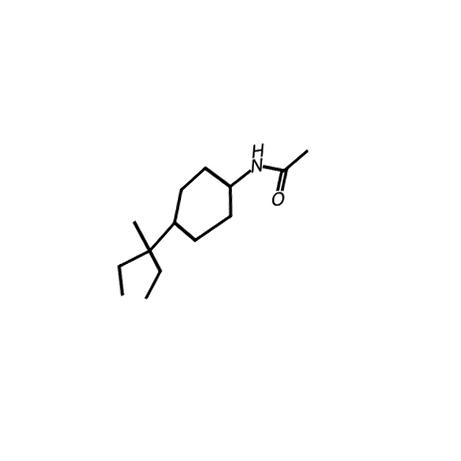 CCC(C)(CC)C1CCC(NC(C)=O)CC1